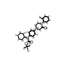 Cc1ccccc1N1CCN(c2ccc(N(C(=O)OC(C)(C)C)C3CCCCC3)cc2)CC1=O